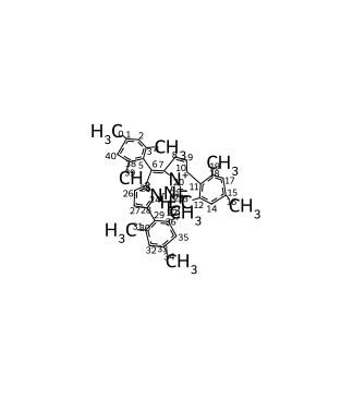 Cc1cc(C)c(C2=C3C=CC(c4c(C)cc(C)cc4C)=[N+]3[N+](F)(F)n3c2ccc3-c2c(C)cc(C)cc2C)c(C)c1